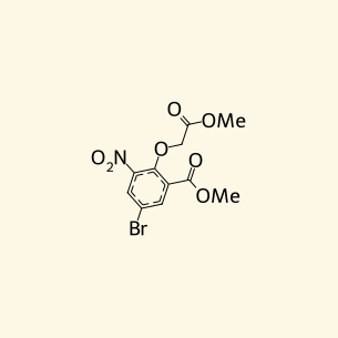 COC(=O)COc1c(C(=O)OC)cc(Br)cc1[N+](=O)[O-]